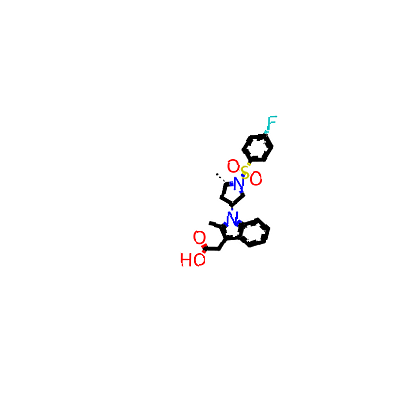 Cc1c(CC(=O)O)c2ccccc2n1[C@@H]1C[C@H](C)N(S(=O)(=O)c2ccc(F)cc2)C1